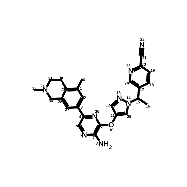 Cc1cc(-c2cnc(N)c(Oc3cnn(C(C)c4ccc(C#N)nc4)c3)n2)cc2c1CCN(C)C2